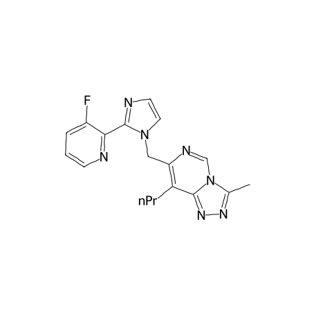 CCCc1c(Cn2ccnc2-c2ncccc2F)ncn2c(C)nnc12